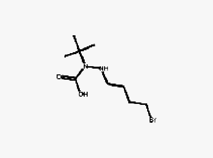 CC(C)(C)N(NCCCCBr)C(=O)O